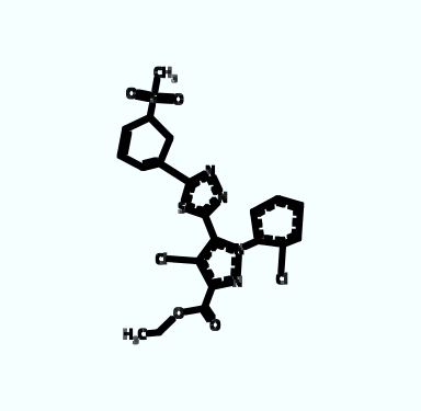 CCOC(=O)c1nn(-c2ccccc2Cl)c(-c2nnc(C3=CC=CC(S(C)(=O)=O)C3)s2)c1Cl